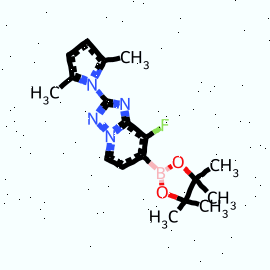 Cc1ccc(C)n1-c1nc2c(F)c(B3OC(C)(C)C(C)(C)O3)ccn2n1